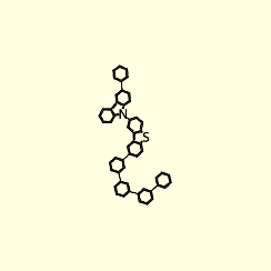 c1ccc(-c2cccc(-c3cccc(-c4cccc(-c5ccc6sc7ccc(-n8c9ccccc9c9cc(-c%10ccccc%10)ccc98)cc7c6c5)c4)c3)c2)cc1